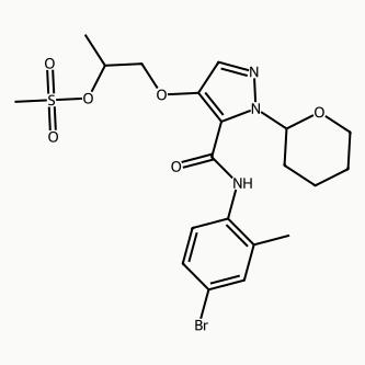 Cc1cc(Br)ccc1NC(=O)c1c(OCC(C)OS(C)(=O)=O)cnn1C1CCCCO1